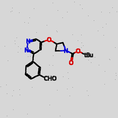 CC(C)(C)OC(=O)N1CC(Oc2cnnc(-c3cccc(C=O)c3)c2)C1